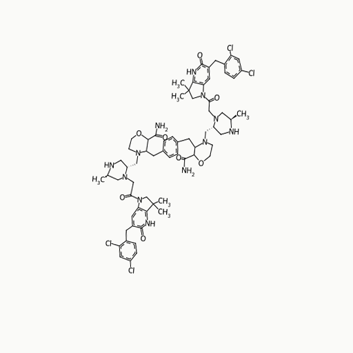 C[C@@H]1CN(CC(=O)N2CC(C)(C)c3[nH]c(=O)c(Cc4ccc(Cl)cc4Cl)cc32)[C@@H](CN2CCOC(C(N)=O)C2Cc2ccc(CC3C(C(N)=O)OCCN3C[C@H]3CN[C@H](C)CN3CC(=O)N3CC(C)(C)c4[nH]c(=O)c(Cc5ccc(Cl)cc5Cl)cc43)cc2)CN1